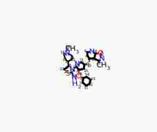 Cc1noc2nccc(Sc3cnc(N4C(C5CCN(C)CC5)=CSC4N)c(Oc4ccccc4)c3)c12